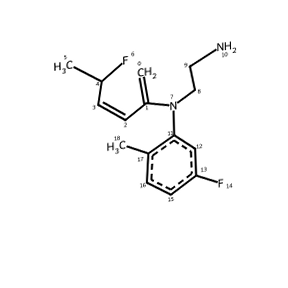 C=C(/C=C\C(C)F)N(CCN)c1cc(F)ccc1C